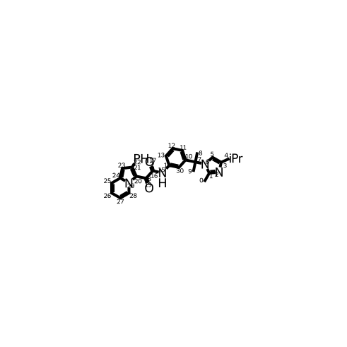 Cc1nc(C(C)C)cn1C(C)(C)c1cccc(NC(=O)C(=O)c2c(P)cc3ccccn23)c1